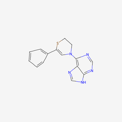 C1=C(c2ccccc2)SCCN1c1ncnc2[nH]cnc12